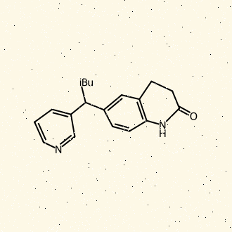 CCC(C)C(c1cccnc1)c1ccc2c(c1)CCC(=O)N2